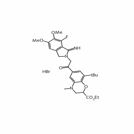 Br.CCOC(=O)C1CN(C)c2cc(C(=O)CN3Cc4cc(OC)c(OC)c(F)c4C3=N)cc(C(C)(C)C)c2O1